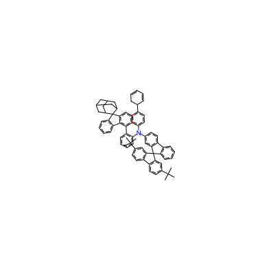 CC(C)(C)c1ccc2c(c1)C1(c3ccccc3-c3ccc(N(c4ccc(C5C=CC=CC5)cc4)c4ccccc4-c4cccc5c4-c4ccccc4C54C5CC6CC(C5)CC4C6)cc31)c1cc(C(C)(C)C)ccc1-2